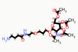 CC(=O)NC1C(OCCCOCCNC(=O)CCCN)OC(COC(C)=O)C(OC(C)=O)C1OC(C)=O